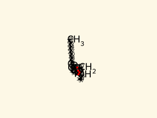 C=C1CC[C@@]2(O)C3Cc4ccc(OC(=O)OCCCCCCCCCCCCC)c5c4[C@@]2(CCN3CC2CC2)[C@H]1O5